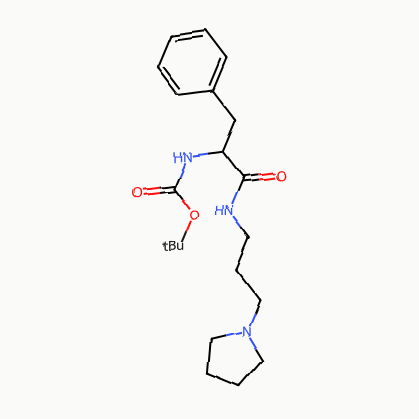 CC(C)(C)OC(=O)NC(Cc1ccccc1)C(=O)NCCCN1CCCC1